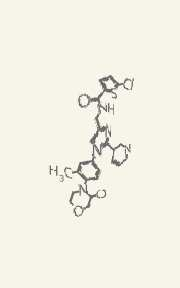 Cc1cc(-n2cc(CNC(=O)c3ccc(Cl)s3)nc2C2C=CC=NC2)ccc1N1CCOCC1=O